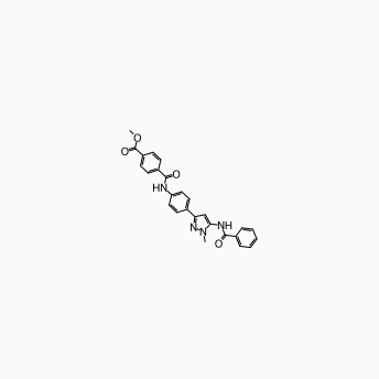 COC(=O)c1ccc(C(=O)Nc2ccc(-c3cc(NC(=O)c4ccccc4)n(C)n3)cc2)cc1